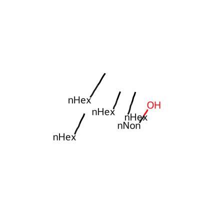 CCCCCCC.CCCCCCC.CCCCCCC.CCCCCCC.CCCCCCCCCO